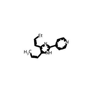 C/C=C\c1[nH]c(-c2ccncc2)nc1/C=C\CC